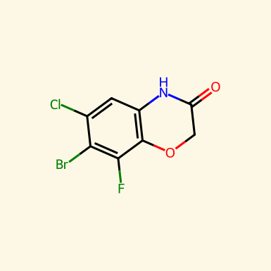 O=C1COc2c(cc(Cl)c(Br)c2F)N1